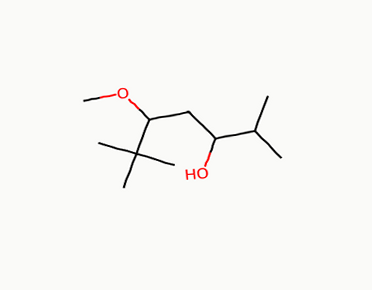 COC(CC(O)C(C)C)C(C)(C)C